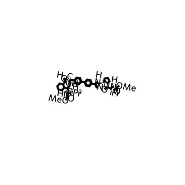 COC(=O)N[C@H](C(=O)N1CCC[C@H]1c1ncc(-c2ccc(-c3ccc([C@@H](C)NC(=O)C4CCCCC4C(C)N(NC(=O)OC)C(C)C)cc3)cc2)[nH]1)C(C)C